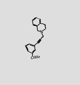 COc1cccc(C#CCN2CCc3ccccc3C2)c1